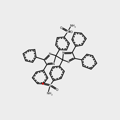 NS(=O)(=O)c1ccc(C2(C3(c4ccc(S(N)(=O)=O)cc4)N=C(c4ccccc4)C(c4ccccc4)=N3)N=C(c3ccccc3)C(c3ccccc3)=N2)cc1